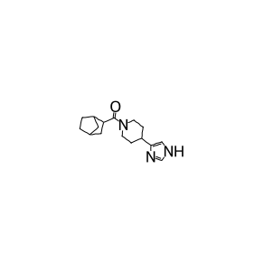 O=C(C1CC2CCC1C2)N1CCC(c2c[nH]cn2)CC1